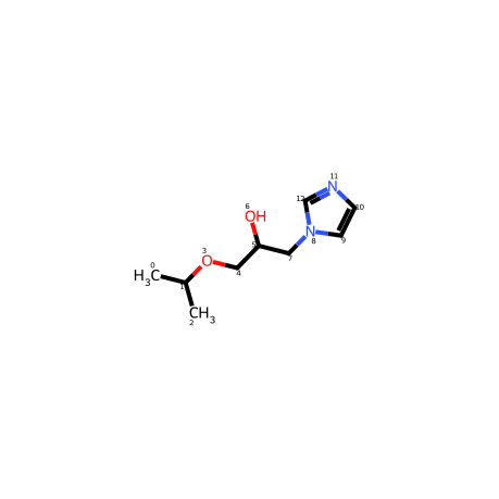 CC(C)OCC(O)Cn1ccnc1